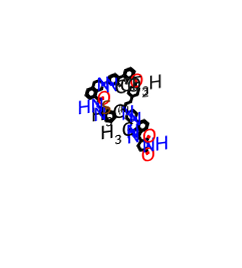 C[C@H](CCC1CCC(Oc2cccc(-c3ccc(N4CCc5cccc(C(=O)Nc6nc7ccccc7s6)c5C4)nc3C(=O)O)c2C(F)(F)F)CC1)N1CCN(c2cccc3c(C4CCC(=O)NC4=O)nn(C)c23)CC1